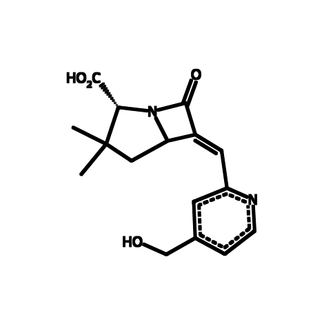 CC1(C)CC2/C(=C\c3cc(CO)ccn3)C(=O)N2[C@H]1C(=O)O